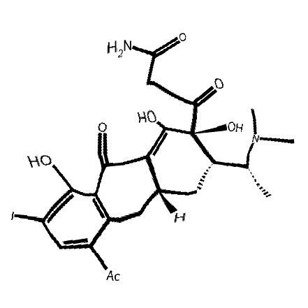 CC(=O)c1cc(I)c(O)c2c1C[C@H]1C[C@@H]([C@@H](C)N(C)C)[C@@](O)(C(=O)CC(N)=O)C(O)=C1C2=O